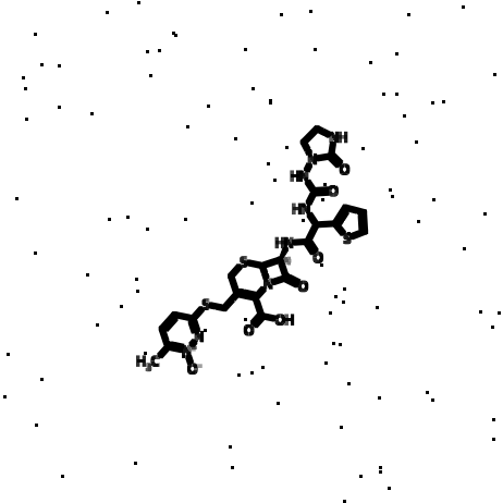 Cc1ccc(SCC2=C(C(=O)O)N3C(=O)[C@H](NC(=O)C(NC(=O)NN4CCNC4=O)c4cccs4)C3SC2)n[n+]1[O-]